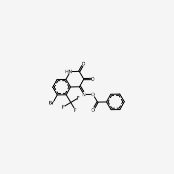 O=C1Nc2ccc(Br)c(C(F)(F)F)c2C(=NOC(=O)c2ccccc2)C1=O